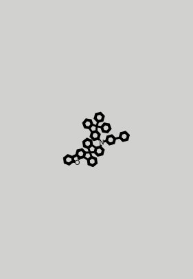 c1ccc(-c2ccc(N(c3ccc4c(c3)C(c3ccccc3)(c3ccccc3)c3ccccc3-4)c3cccc4c3-c3ccccc3C43c4ccccc4-c4c3ccc3c4oc4ccccc43)cc2)cc1